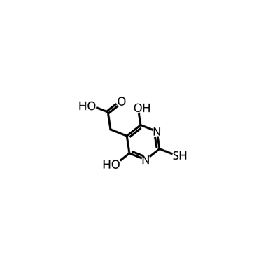 O=C(O)Cc1c(O)nc(S)nc1O